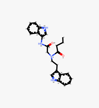 CCCC(=O)N(CCc1c[nH]c2ccccc12)CC(=O)Nc1c[nH]c2ccccc12